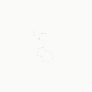 CCC1(CC)OC2CN3C(C)CCC(O)C3C2O1